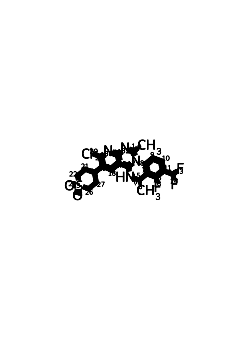 Cc1nc(N[C@H](C)c2cccc(C(F)F)c2F)c2cc(C3CCS(=O)(=O)CC3)c(Cl)nc2n1